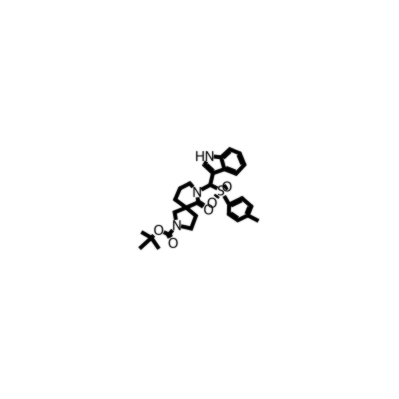 Cc1ccc(S(=O)(=O)C(c2c[nH]c3ccccc23)N2CCCC3(CCN(C(=O)OC(C)(C)C)C3)C2=O)cc1